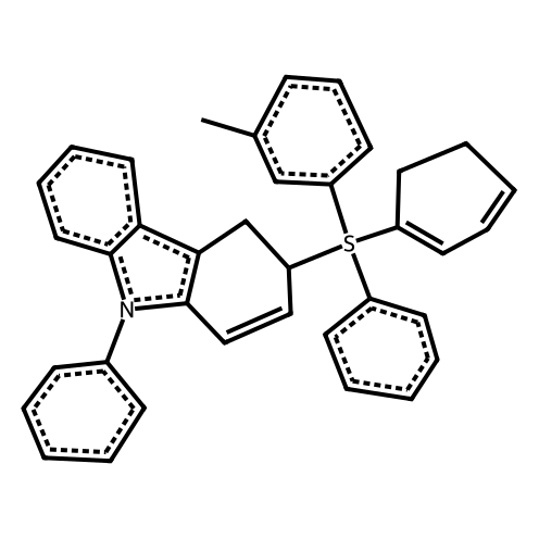 Cc1cccc(S(C2=CC=CCC2)(c2ccccc2)C2C=Cc3c(c4ccccc4n3-c3ccccc3)C2)c1